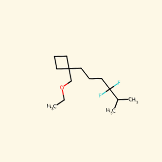 CCOCC1(CCCC(F)(F)C(C)C)CCC1